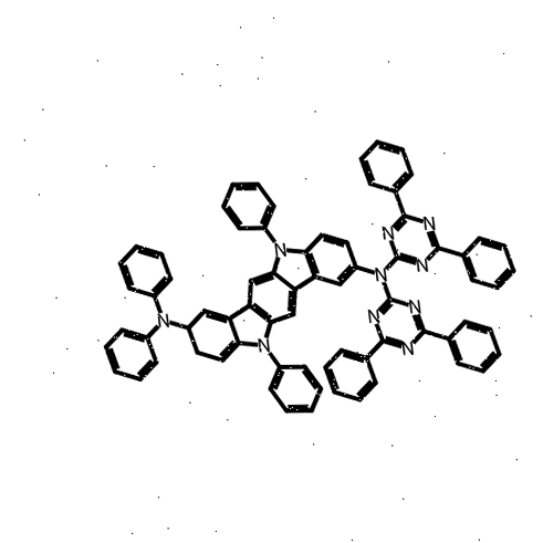 C1=c2c(n(-c3ccccc3)c3cc4c5cc(N(c6nc(-c7ccccc7)nc(-c7ccccc7)n6)c6nc(-c7ccccc7)nc(-c7ccccc7)n6)ccc5n(-c5ccccc5)c4cc23)=CCC1N(c1ccccc1)c1ccccc1